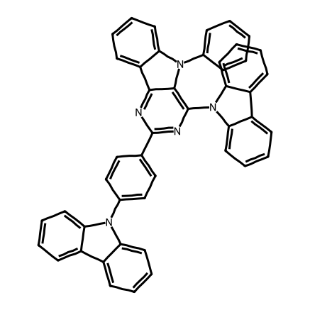 c1ccc(-n2c3ccccc3c3nc(-c4ccc(-n5c6ccccc6c6ccccc65)cc4)nc(-n4c5ccccc5c5ccccc54)c32)cc1